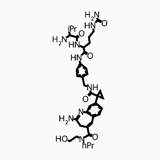 CCCN(CCO)C(=O)C1=Cc2ccc(C3(C(=O)NCc4ccc(NC(=O)C(CCCNC(N)=O)NC(=O)C(N)C(C)C)cc4)CC3)cc2N=C(N)C1